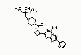 CCC(O)(CC)CN1CCN(C(=O)[C@@H]2CCN2c2nc(N)n3nc(-c4ccco4)nc3n2)CC1